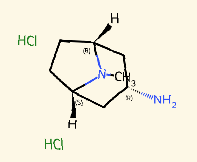 CN1[C@@H]2CC[C@H]1C[C@@H](N)C2.Cl.Cl